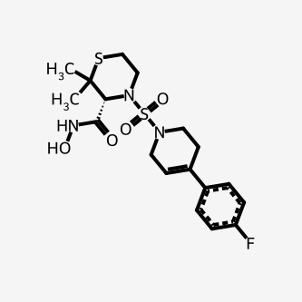 CC1(C)SCCN(S(=O)(=O)N2CC=C(c3ccc(F)cc3)CC2)[C@@H]1C(=O)NO